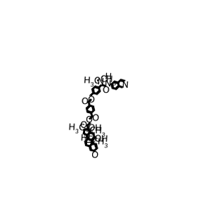 C[C@@H]1C[C@H]2[C@@H]3CCC4=CC(=O)C=C[C@]4(C)[C@@]3(F)[C@@H](O)C[C@]2(C)[C@@]1(O)C(=O)COC(=O)c1ccc(C(=O)OCc2ccc(C(C(=O)Nc3ccc4cnccc4c3)N(C)C)cc2)cc1